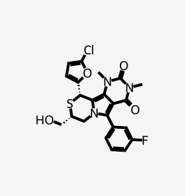 Cn1c(=O)c2c(-c3cccc(F)c3)n3c(c2n(C)c1=O)[C@@H](c1ccc(Cl)o1)S[C@@H](CO)C3